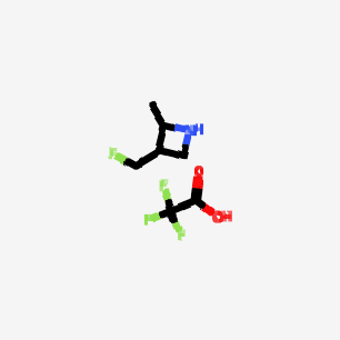 CC1NCC1CF.O=C(O)C(F)(F)F